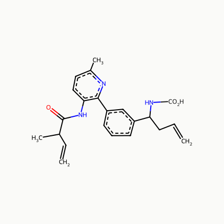 C=CCC(NC(=O)O)c1cccc(-c2nc(C)ccc2NC(=O)C(C)C=C)c1